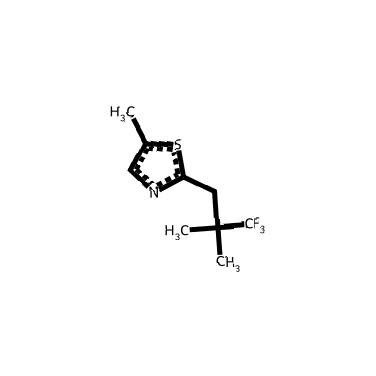 Cc1cnc(CC(C)(C)C(F)(F)F)s1